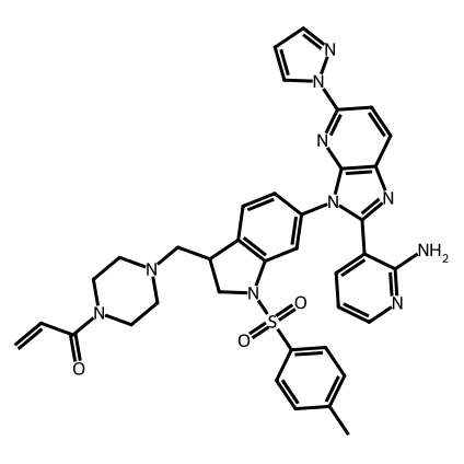 C=CC(=O)N1CCN(CC2CN(S(=O)(=O)c3ccc(C)cc3)c3cc(-n4c(-c5cccnc5N)nc5ccc(-n6cccn6)nc54)ccc32)CC1